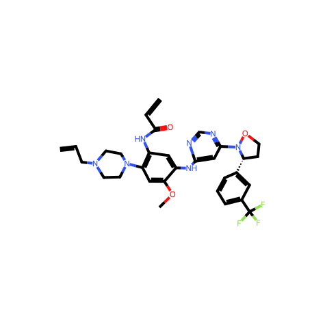 C=CCN1CCN(c2cc(OC)c(Nc3cc(N4OCC[C@@H]4c4cccc(C(F)(F)F)c4)ncn3)cc2NC(=O)C=C)CC1